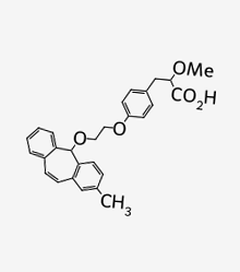 COC(Cc1ccc(OCCOC2c3ccccc3C=Cc3cc(C)ccc32)cc1)C(=O)O